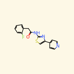 O=C(Cc1ccccc1F)Nc1nc(-c2ccncc2)cs1